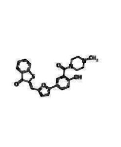 CN1CCN(C(=O)c2cc(-c3ccc(/C=C4\Sc5ccccc5C4=O)o3)ccc2O)CC1